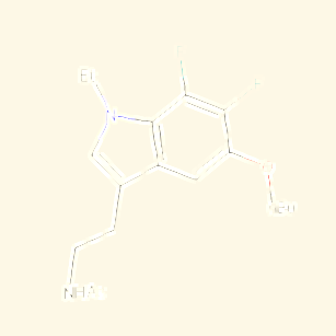 CCCCOc1cc2c(CCNC(C)=O)cn(CC)c2c(F)c1F